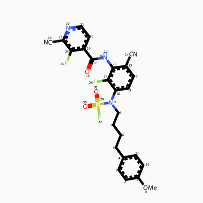 COc1ccc(CCCCN(c2ccc(C#N)c(NC(=O)c3ccnc(C#N)c3F)c2F)S(=O)(=O)F)cc1